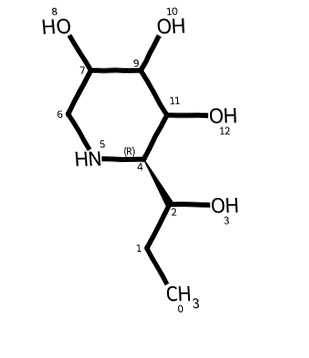 CCC(O)[C@H]1NCC(O)C(O)C1O